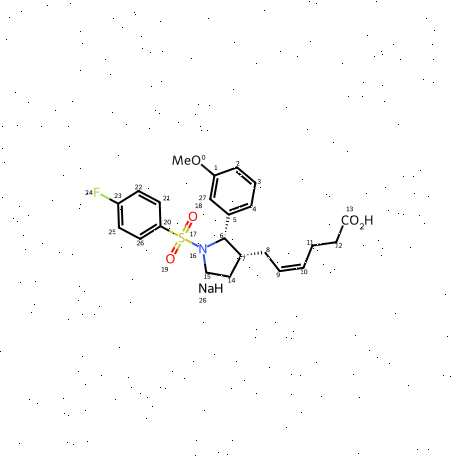 COc1cccc([C@@H]2[C@H](C/C=C\CCC(=O)O)CCN2S(=O)(=O)c2ccc(F)cc2)c1.[NaH]